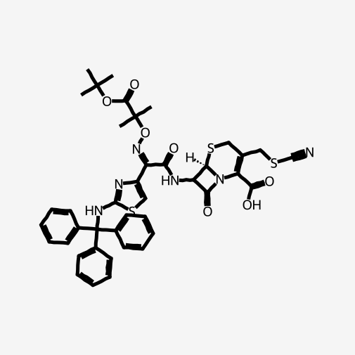 CC(C)(C)OC(=O)C(C)(C)O/N=C(\C(=O)NC1C(=O)N2C(C(=O)O)=C(CSC#N)CS[C@H]12)c1csc(NC(c2ccccc2)(c2ccccc2)c2ccccc2)n1